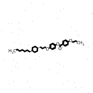 CCCCCCC[C@H]1CC[C@H](CCCOc2ccc(OC(=O)c3ccc(OCCC)cc3)cc2)CC1